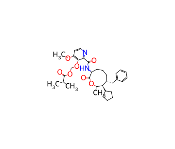 COc1ccnc(C(=O)N[C@H]2CCC[C@H](Cc3ccccc3)[C@@H](C3CCCC3)[C@H](C)OC2=O)c1OCOC(=O)C(C)C